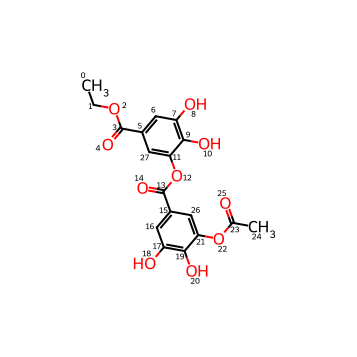 CCOC(=O)c1cc(O)c(O)c(OC(=O)c2cc(O)c(O)c(OC(C)=O)c2)c1